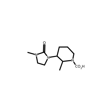 CC1C(N2CCN(C)C2=O)CCCN1C(=O)O